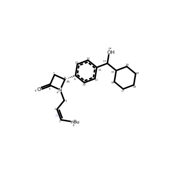 CCCC/C=C\CN1C(=O)C[C@@H]1c1ccc(C(O)C2CCCCC2)cc1